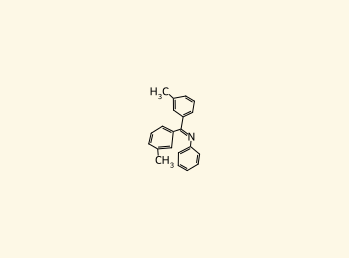 Cc1cccc(C(=Nc2ccccc2)c2cccc(C)c2)c1